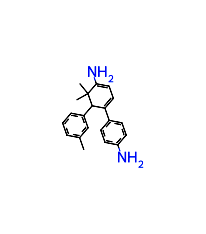 Cc1cccc(C2C(c3ccc(N)cc3)=CC=C(N)C2(C)C)c1